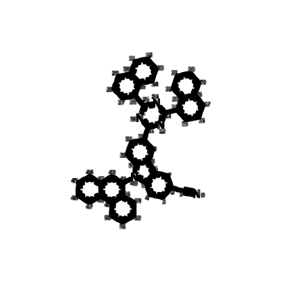 N#Cc1ccc2c(c1)c1cc(-c3nc(-c4cccc5ccccc45)nc(-c4cccc5ccccc45)n3)ccc1n2-c1cc2ccccc2c2ccccc12